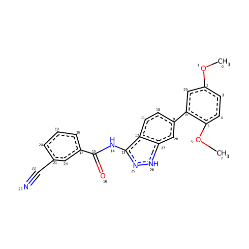 COc1ccc(OC)c(-c2ccc3c(NC(=O)c4cccc(C#N)c4)n[nH]c3c2)c1